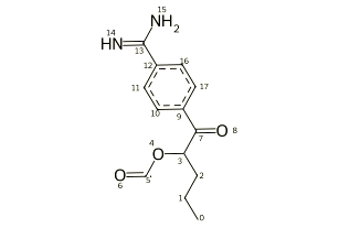 CCCC(O[C]=O)C(=O)c1ccc(C(=N)N)cc1